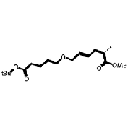 COC(=O)[C@@H](C)C/C=C/COCCCCC(=O)OC(C)(C)C